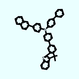 CC1(C)c2ccc(-c3ccc(N(c4ccc(-c5ccccc5)cc4)c4ccc(-c5ccc6ccccc6c5)cc4)cc3)cc2-c2sc3ccccc3c21